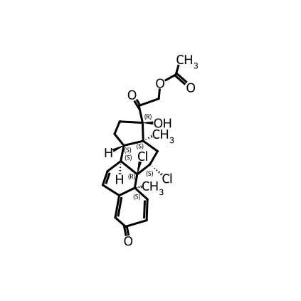 CC(=O)OCC(=O)[C@@]1(O)CC[C@H]2[C@@H]3C=CC4=CC(=O)C=C[C@]4(C)[C@@]3(Cl)[C@@H](Cl)C[C@@]21C